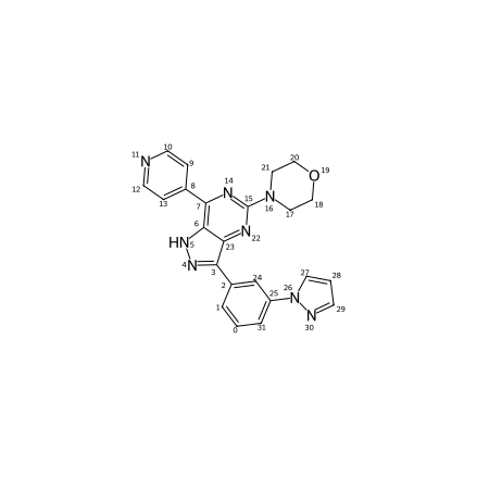 c1cc(-c2n[nH]c3c(-c4ccncc4)nc(N4CCOCC4)nc23)cc(-n2cccn2)c1